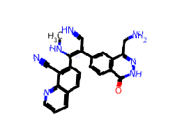 CN/C(=C(\C=N)c1ccc2c(=O)[nH]nc(CN)c2c1)c1ccc2cccnc2c1C#N